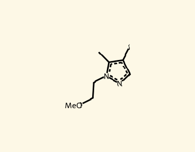 COCCn1ncc(I)c1C